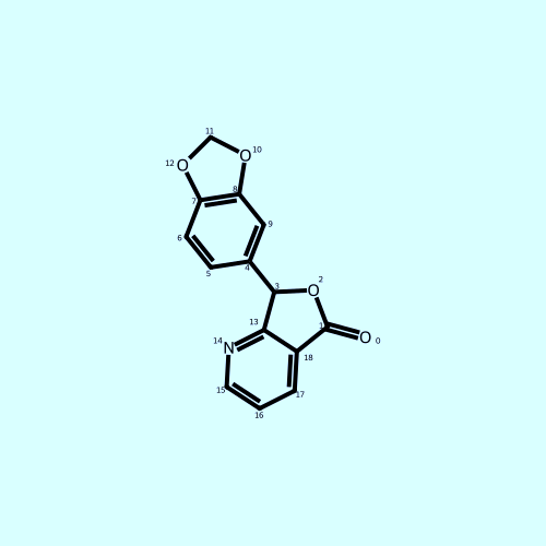 O=C1OC(c2ccc3c(c2)OCO3)c2ncccc21